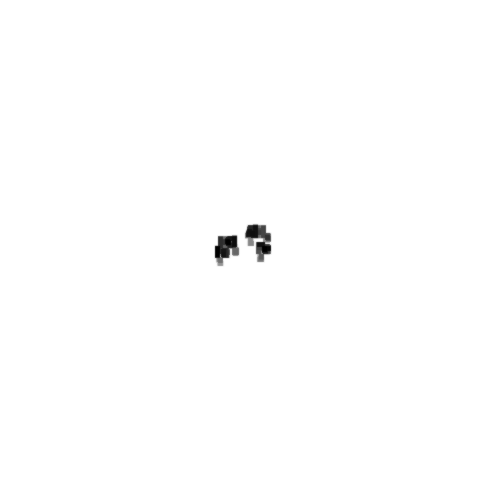 Cl.[AlH3].[Fe].[Fe]